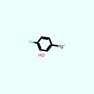 Fc1cc[c]([Hg+])cc1.[OH-]